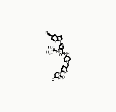 CC(C)Nc1cc(-n2ccc3cc(C#N)cnc32)ncc1C(=O)NC1CCN(Cc2ccc(N3CCC(=O)NC3=O)nn2)CC1